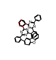 c1ccc(-c2nc(-c3ccccc3)nc(-c3ccccc3-c3nc(-c4ccccc4)nc(-c4ccccc4-c4ccc5oc6ccccc6c5c4)n3)n2)cc1